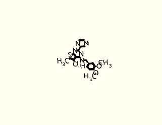 COc1ccc(CNc2nc(-c3cnccn3)nc3sc(C)c(Cl)c23)cc1OC